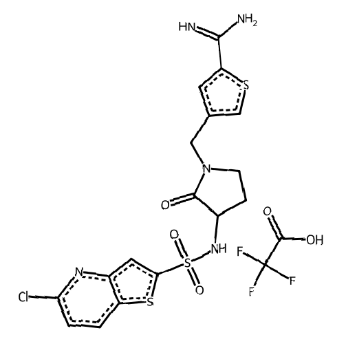 N=C(N)c1cc(CN2CCC(NS(=O)(=O)c3cc4nc(Cl)ccc4s3)C2=O)cs1.O=C(O)C(F)(F)F